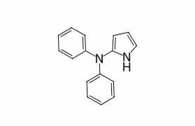 c1ccc(N(c2ccccc2)c2ccc[nH]2)cc1